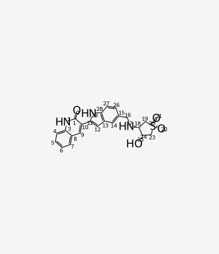 O=c1[nH]c2ccccc2cc1-c1cc2cc(CN[C@H]3CS(=O)(=O)C[C@@H]3O)ccc2[nH]1